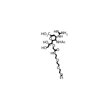 CCOCCOCCOCCNC(=O)CO[C@@H]([C@@H]1OC(C(=O)O)=C[C@H](NC(=N)N)[C@H]1NC(C)=O)[C@H](O)CO